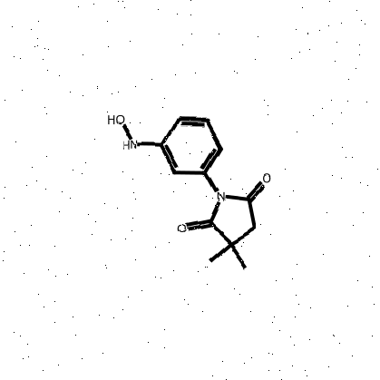 CC1(C)CC(=O)N(c2cccc(NO)c2)C1=O